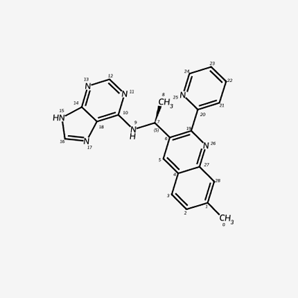 Cc1ccc2cc([C@H](C)Nc3ncnc4[nH]cnc34)c(-c3ccccn3)nc2c1